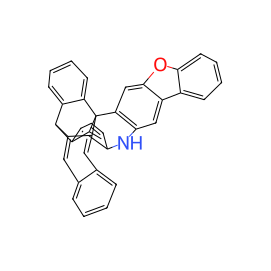 c1ccc2c(c1)C1c3cc4ccccc4cc3C23c2cc4oc5ccccc5c4cc2Nc2cccc1c23